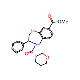 COC(=O)c1ccc2c(c1)OC[C@H](c1ccccc1)N(C(=O)[C@H]1CCCOC1)C2